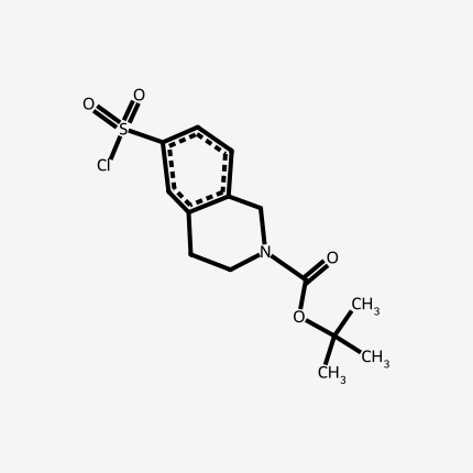 CC(C)(C)OC(=O)N1CCc2cc(S(=O)(=O)Cl)ccc2C1